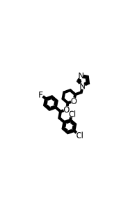 Fc1ccc(C(Cc2ccc(Cl)cc2Cl)OC2CCCC(Cn3ccnc3)O2)cc1